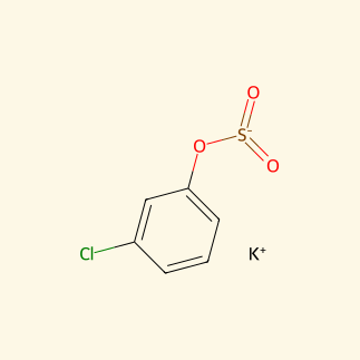 O=[S-](=O)Oc1cccc(Cl)c1.[K+]